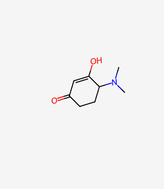 CN(C)C1CCC(=O)C=C1O